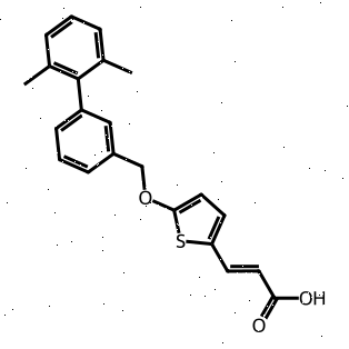 Cc1cccc(C)c1-c1cccc(COc2ccc(/C=C/C(=O)O)s2)c1